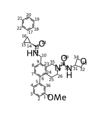 COc1cccc(-c2ccc(CNC(=O)[C@H]3C[C@@H]3c3ccccc3)c3c2CCN(C(=O)NC2COC2)C3)c1